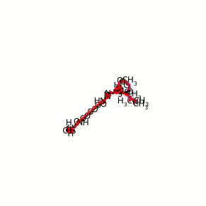 CC(/C=C/C(C)=C/[C@@H]1Cc2nc(cs2)CC/C(CCS(=O)(=O)c2ccc(CCc3cn(CCCNC(=O)CCOCCOCCOCCOCCOCCNC(=O)CCCC[C@@H]4SC[C@@H]5CC(=O)N[C@@H]54)nn3)cc2)=C/C(=O)O[C@@H](C)C/C(C)=C/C=C\C(=O)O1)=C\CN(C)C